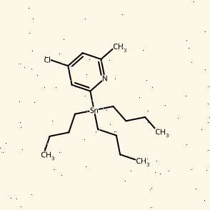 CCC[CH2][Sn]([CH2]CCC)([CH2]CCC)[c]1cc(Cl)cc(C)n1